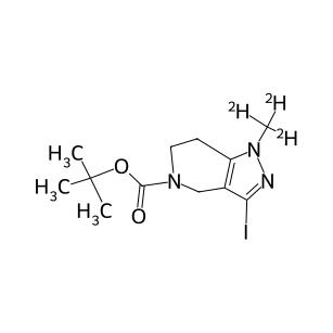 [2H]C([2H])([2H])n1nc(I)c2c1CCN(C(=O)OC(C)(C)C)C2